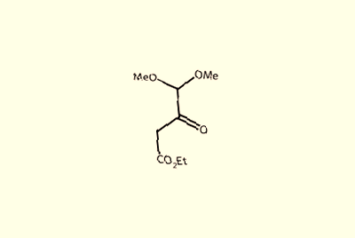 CCOC(=O)CC(=O)C(OC)OC